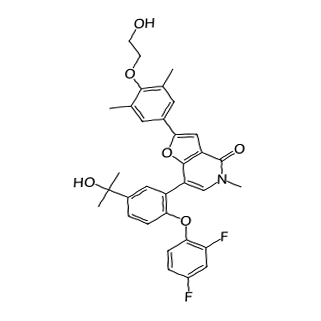 Cc1cc(-c2cc3c(=O)n(C)cc(-c4cc(C(C)(C)O)ccc4Oc4ccc(F)cc4F)c3o2)cc(C)c1OCCO